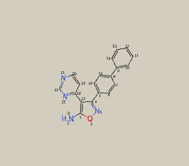 Nc1onc(-c2ccc(-c3ccccc3)cc2)c1-c1ccncn1